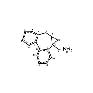 NCC12CC1Cc1ccccc1-c1ccccc12